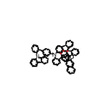 c1ccc(N(c2ccc(-c3ccccc3-n3c4ccccc4c4ccccc43)cc2)c2ccc3c(c2)C2(c4ccccc4-c4ccccc42)c2ccccc2-3)c(-c2cccc3oc4cc5ccccc5cc4c23)c1